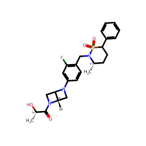 C[C@H](O)C(=O)N1CC2[C@@H]1CN2c1ccc(CN2[C@@H](C)CCC(c3ccccc3)S2(=O)=O)c(F)c1